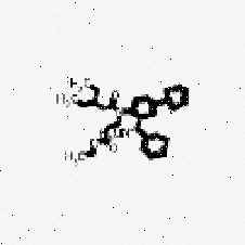 C=[N+]=C(c1ccccc1)c1cc(-c2ccccc2)ccc1N(CCC(=O)OCC)C(=O)CC(CC)CC